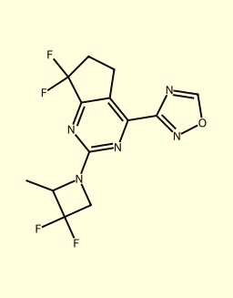 CC1N(c2nc(-c3ncon3)c3c(n2)C(F)(F)CC3)CC1(F)F